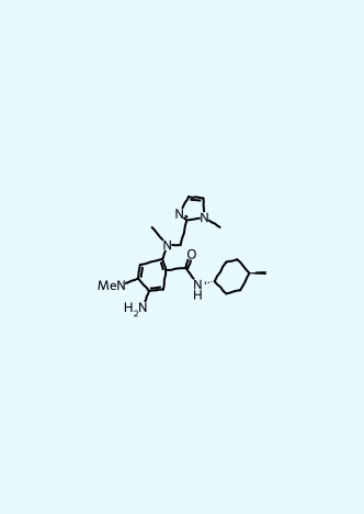 CNc1cc(N(C)Cc2nccn2C)c(C(=O)N[C@H]2CC[C@H](C)CC2)cc1N